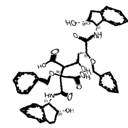 O=C(O)C(C(O)C[C@@H](OCc1ccccc1)C(=O)N[C@H]1c2ccccc2C[C@H]1O)[C@](OCc1ccccc1)(C(=O)O)C(=O)N[C@H]1c2ccccc2C[C@H]1O